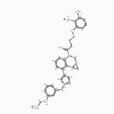 Cc1cccc(OCCCC(=O)N2CC3CC3c3c(-c4cnn(Cc5cccc(OCC(=O)O)c5)c4)cccc32)c1C